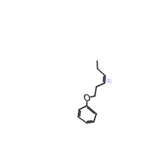 CC/C=C\CCOc1ccccc1